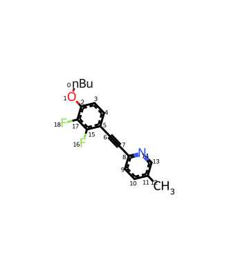 CCCCOc1ccc(C#Cc2ccc(C)cn2)c(F)c1F